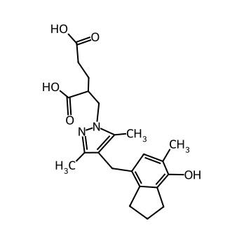 Cc1cc(Cc2c(C)nn(CC(CCC(=O)O)C(=O)O)c2C)c2c(c1O)CCC2